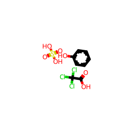 O=C(O)C(Cl)(Cl)Cl.O=S(=O)(O)O.Oc1ccccc1